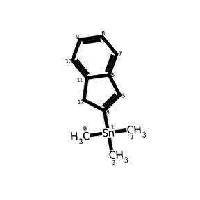 [CH3][Sn]([CH3])([CH3])[C]1=Cc2ccccc2C1